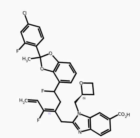 C=C/C(F)=C(/Cc1nc2ccc(C(=O)O)cc2n1C[C@@H]1CCO1)CC(F)c1cccc2c1OC(C)(c1ccc(Cl)cc1F)O2